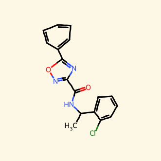 CC(NC(=O)c1noc(-c2ccccc2)n1)c1ccccc1Cl